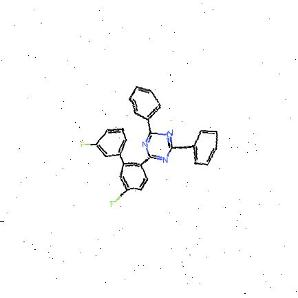 Fc1cccc(-c2cc(F)ccc2-c2nc(-c3ccccc3)nc(-c3ccccc3)n2)c1